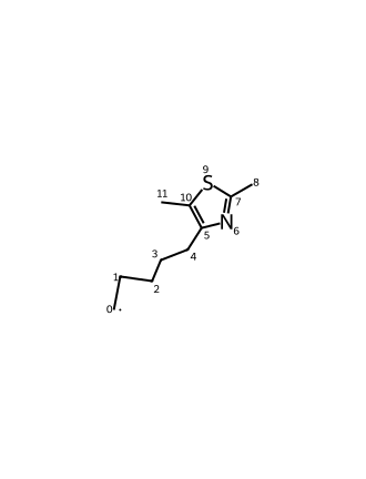 [CH2]CCCCc1nc(C)sc1C